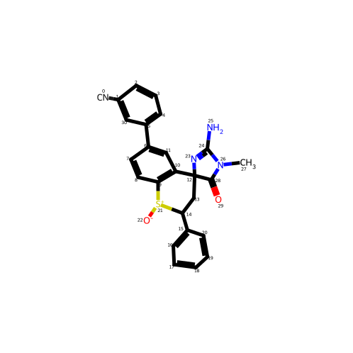 [C-]#[N+]c1cccc(-c2ccc3c(c2)C2(CC(c4ccccc4)[S+]3[O-])N=C(N)N(C)C2=O)c1